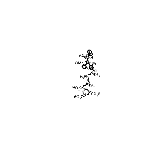 COc1cccc(O)c1-c1cc(C(=O)NC2(C(=O)O)C3CC4CC(C3)CC2C4)nn1-c1c#cc(C(=O)N(C)CCCN(C)CCCN(C)C(=O)CCC(C(=O)O)N2CCN(CC(=O)O)CCN(CC(=O)O)CC2)cc1C(C)C